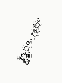 Cc1cc(OCCCC2CCN(c3ccc(Cl)cn3)CC2)ccc1C(=O)N[C@H]1COC[C@@H]1O